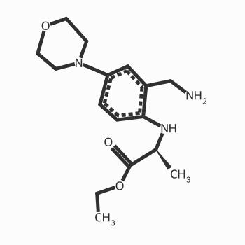 CCOC(=O)[C@H](C)Nc1ccc(N2CCOCC2)cc1CN